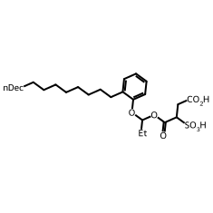 CCCCCCCCCCCCCCCCCCc1ccccc1OC(CC)OC(=O)C(CC(=O)O)S(=O)(=O)O